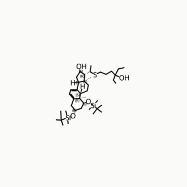 CCC(O)(CC)CCCSC(C)[C@H]1[C@@H](O)C[C@H]2C3=CC=C4C[C@@H](O[Si](C)(C)C(C)(C)C)C[C@H](O[Si](C)(C)C(C)(C)C)[C@]4(C)[C@H]3CC[C@@]21C